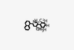 [2H]c1c([2H])c([2H])c(-c2cnc(-c3cccc4ccccc34)cc2C)c(C)c1[2H]